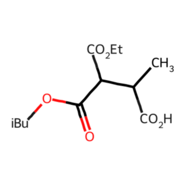 CCOC(=O)C(C(=O)OC(C)CC)C(C)C(=O)O